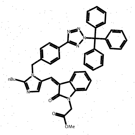 CCCCc1ncc(C=C2C(=O)N(CC(=O)OC)c3ccccc32)n1Cc1ccc(-c2nnn(C(c3ccccc3)(c3ccccc3)c3ccccc3)n2)cc1